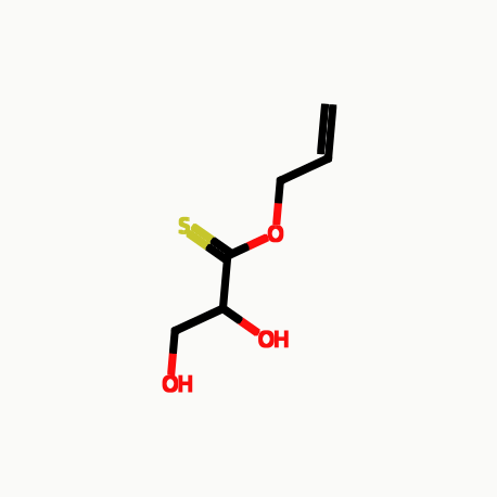 C=CCOC(=S)C(O)CO